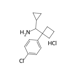 Cl.NC(C1CC1)C1(c2ccc(Cl)cc2)CCC1